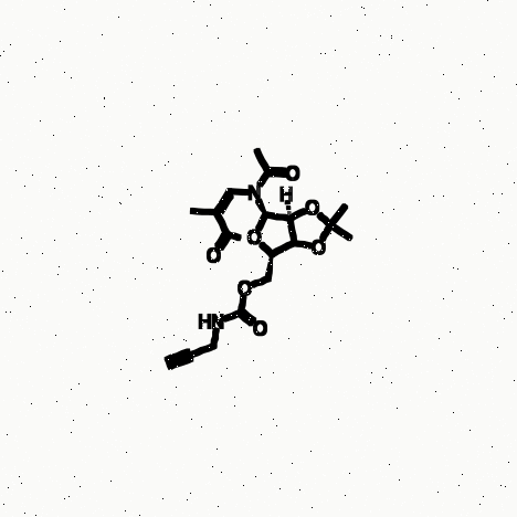 C#CCNC(=O)OC[C@H]1O[C@@H](N(/C=C(/C)C(C)=O)C(C)=O)[C@H]2OC(C)(C)OC12